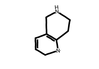 C1=CC2=C(CCNC2)[N]C1